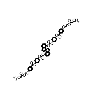 C=CC(=O)OCCOc1ccc(C(=O)OC2CCC(OC(=O)Oc3cccc4c3C3(CC4)CCc4cccc(OC(=O)OC5CCC(OC(=O)c6ccc(OCOC(=O)C=C)cc6)CC5)c43)CC2)cc1